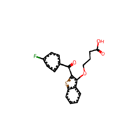 O=C(O)CCCOc1c(C(=O)c2ccc(F)cc2)sc2ccccc12